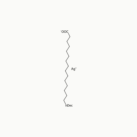 CCCCCCCCCCCCCCCCCCCCCCCCC(=O)[O-].[Ag+]